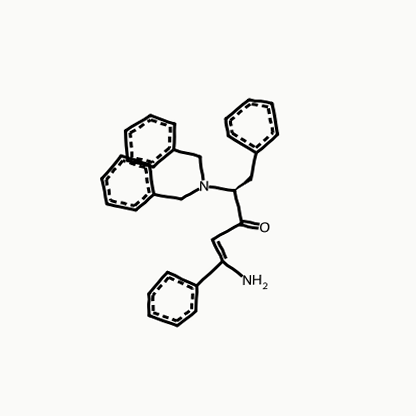 NC(=CC(=O)[C@H](Cc1ccccc1)N(Cc1ccccc1)Cc1ccccc1)c1ccccc1